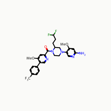 COc1cc(C(=O)N2CCN(c3cnc(N)cc3OC)CC2CCC(F)F)ncc1-c1ccc(C(F)(F)F)cc1